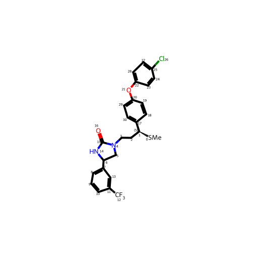 CS[C@@H](CCN1CC(c2cccc(C(F)(F)F)c2)NC1=O)c1ccc(Oc2ccc(Cl)cc2)cc1